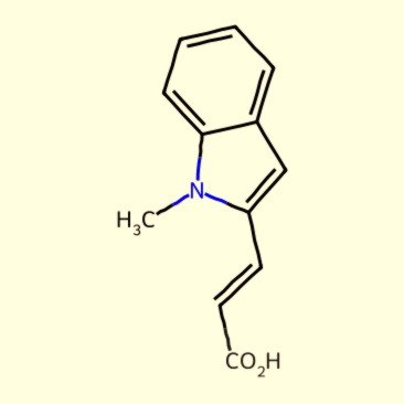 Cn1c(/C=C/C(=O)O)cc2ccccc21